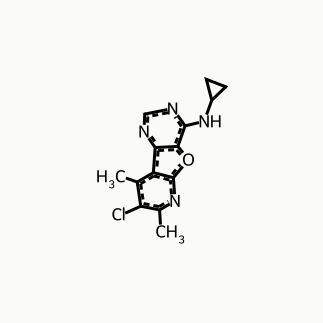 Cc1nc2oc3c(NC4CC4)ncnc3c2c(C)c1Cl